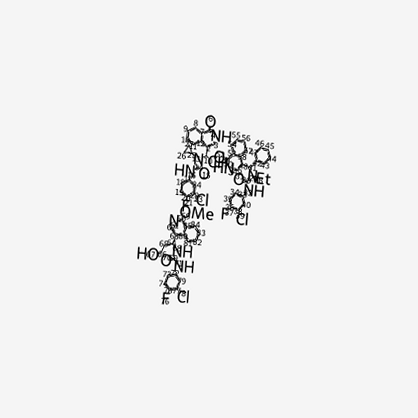 CC(c1c[nH]c(=O)c2ccccc12)N(C(=O)Nc1ccc(F)c(Cl)c1)C1CC1.CCN(C(=O)Nc1ccc(F)c(Cl)c1)C(c1ccccc1)c1c[nH]c(=O)c2ccccc12.COc1ncc(C(CCO)NC(=O)Nc2ccc(F)c(Cl)c2)c2ccccc12